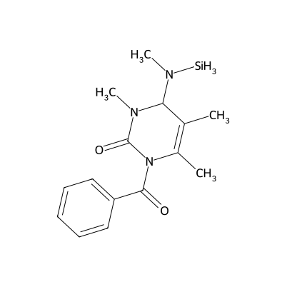 CC1=C(C)N(C(=O)c2ccccc2)C(=O)N(C)C1N(C)[SiH3]